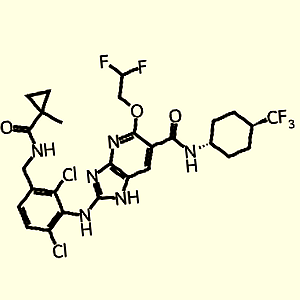 CC1(C(=O)NCc2ccc(Cl)c(Nc3nc4nc(OCC(F)F)c(C(=O)N[C@H]5CC[C@H](C(F)(F)F)CC5)cc4[nH]3)c2Cl)CC1